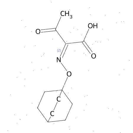 CC(=O)/C(=N/OC12CCC(CC1)CC2)C(=O)O